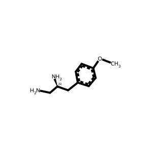 COc1ccc(C[C@H](N)CN)cc1